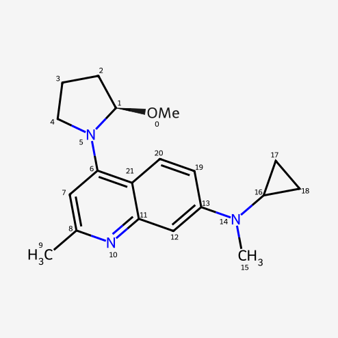 CO[C@@H]1CCCN1c1cc(C)nc2cc(N(C)C3CC3)ccc12